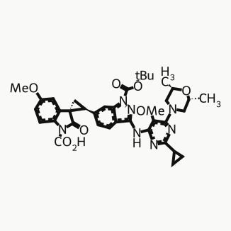 COc1ccc2c(c1)[C@]1(C[C@H]1c1ccc3c(Nc4nc(C5CC5)nc(N5C[C@@H](C)O[C@@H](C)C5)c4OC)nn(C(=O)OC(C)(C)C)c3c1)C(=O)N2C(=O)O